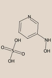 O=S(=O)(O)O.ONc1cccnc1